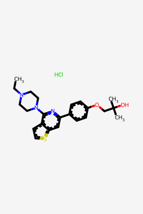 CCN1CCN(c2nc(-c3ccc(OCC(C)(C)O)cc3)cc3sccc23)CC1.Cl